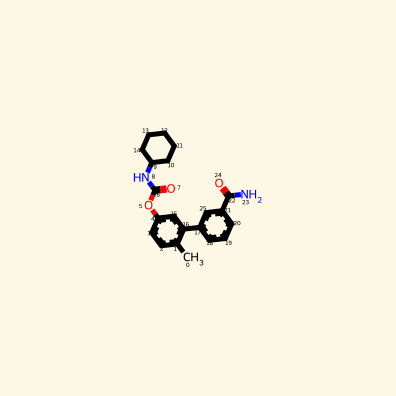 Cc1ccc(OC(=O)NC2CCCCC2)cc1-c1cccc(C(N)=O)c1